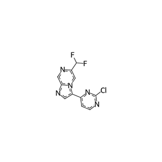 FC(F)c1cn2c(-c3ccnc(Cl)n3)cnc2cn1